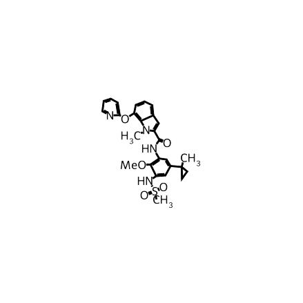 COc1c(NC(=O)c2cc3cccc(Oc4ccccn4)c3n2C)cc(C2(C)CC2)cc1NS(C)(=O)=O